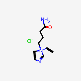 C=C[N+]1(CCCC(N)=O)C=CN=C1.[Cl-]